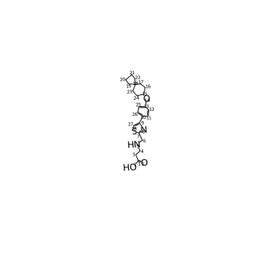 O=C(O)CCNCc1nc(-c2ccc(OC3CCC4(CCCC4)CC3)cc2)cs1